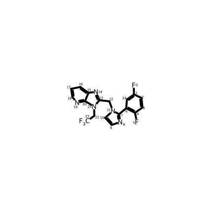 Fc1ccc(F)c(-c2nccn2Cc2nc3cccnc3n2CC(F)(F)F)c1